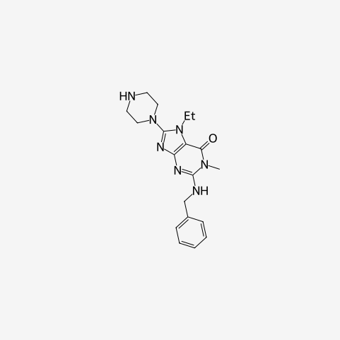 CCn1c(N2CCNCC2)nc2nc(NCc3ccccc3)n(C)c(=O)c21